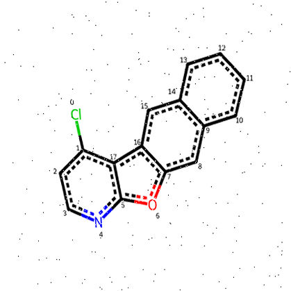 Clc1ccnc2oc3cc4ccccc4cc3c12